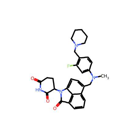 CN(Cc1ccc2c3c(cccc13)C(=O)N2C1CCC(=O)NC1=O)c1ccc(CN2CCCCC2)c(F)c1